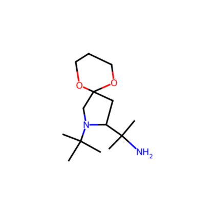 CC(C)(N)C1CC2(CN1C(C)(C)C)OCCCO2